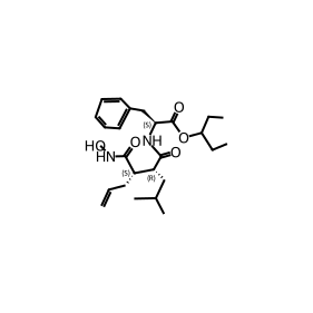 C=CC[C@H](C(=O)NO)[C@@H](CC(C)C)C(=O)N[C@@H](Cc1ccccc1)C(=O)OC(CC)CC